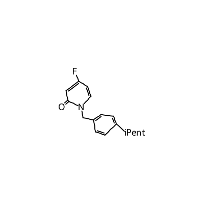 CCCC(C)c1ccc(Cn2ccc(F)cc2=O)cc1